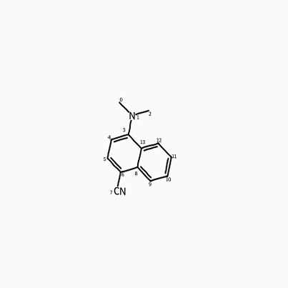 CN(C)c1ccc(C#N)c2ccccc12